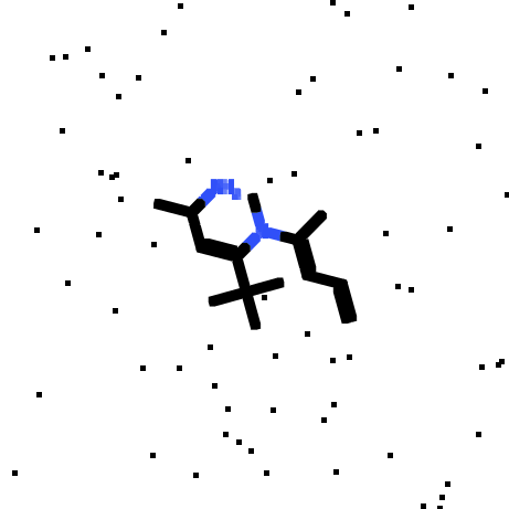 C=C/C=C(\C)N(C)/C(=C\C(C)N)C(C)(C)C